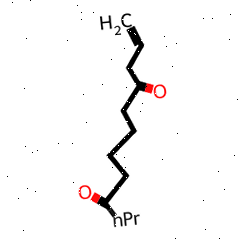 C=CCC(=O)CCCCC(=O)CCC